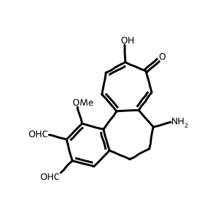 COc1c(C=O)c(C=O)cc2c1-c1ccc(O)c(=O)cc1C(N)CC2